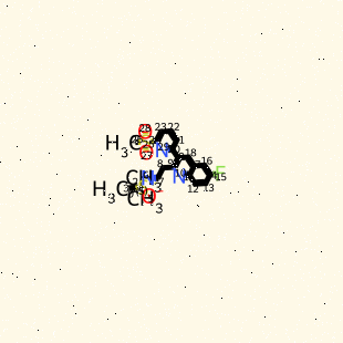 CC(C)(C)[S@@+]([O-])N=CCc1nc2ccc(F)cc2cc1-c1cccc(S(C)(=O)=O)n1